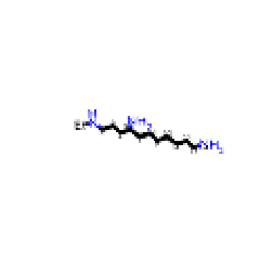 CCNCCCC(N)CCCCCCCN